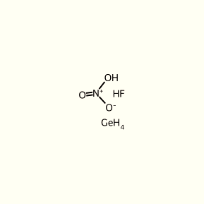 F.O=[N+]([O-])O.[GeH4]